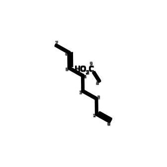 C=CCCCC=CC.CC(=O)O